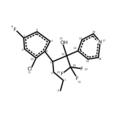 CCCC(c1ccc(F)cc1Cl)C(O)(c1ccncc1)C(F)(F)F